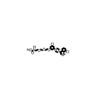 O=C(O)NCCOCCOCCOc1cc(Cl)cc(N2CCN(c3cnnc4c(Cl)cccc34)CC2)c1